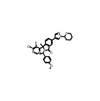 COc1ccc(C(C)N2C(=O)c3cc(-c4cnn(C5CCCCO5)c4)ccc3C2(C)c2ncnc(Cl)c2F)cc1